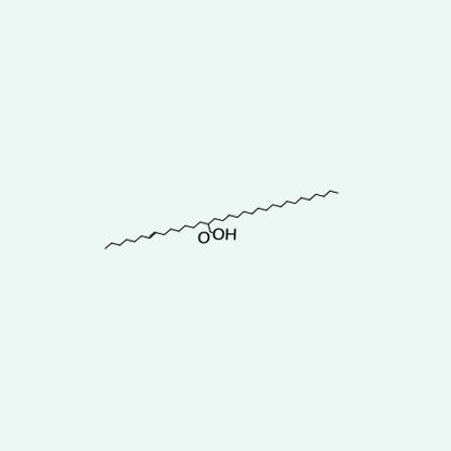 CCCCCCC=CCCCCCCC(CCCCCCCCCCCCCCCCCC)C(=O)O